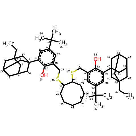 CCC12CC3CC(C1)CC(c1cc(C(C)(C)C)cc(CSC4CCCCCCC4SCc4cc(C(C)(C)C)cc(C56CC7CC(CC(CC)(C7)C5)C6)c4O)c1O)(C3)C2